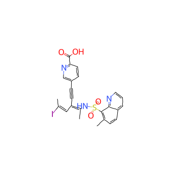 C/C(NS(=O)(=O)c1c(C)ccc2cccnc12)=C(C#Cc1ccc(C(=O)O)nc1)\C=C(/C)I